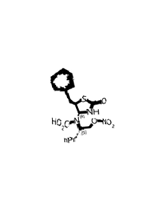 CCC[C@@H](CO[N+](=O)[O-])N(C(=O)O)[C@H]1NC(=O)SC1Cc1ccccc1